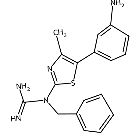 Cc1nc(N(Cc2ccccc2)C(=N)N)sc1-c1cccc(N)c1